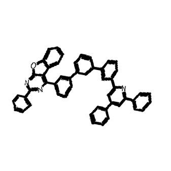 c1ccc(-c2cc(-c3ccccc3)nc(-c3cccc(-c4cccc(-c5cccc(-c6nc(-c7ccccc7)nc7oc8ccccc8c67)c5)c4)c3)c2)cc1